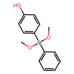 CO[Si](OC)(c1ccccc1)c1ccc(O)cc1